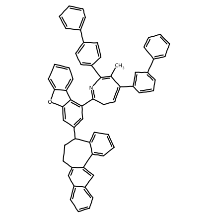 CC1=C(c2ccc(-c3ccccc3)cc2)N=C(c2cc(C3CCc4cc5ccccc5cc4-c4ccccc43)cc3oc4ccccc4c23)CC=C1c1cccc(-c2ccccc2)c1